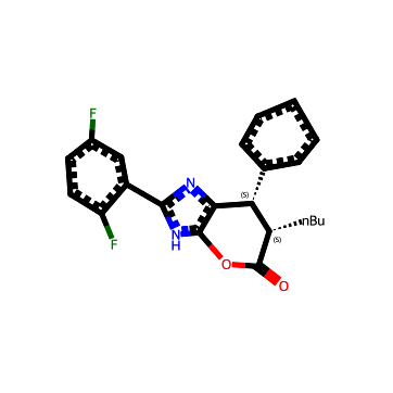 CCCC[C@@H]1C(=O)Oc2[nH]c(-c3cc(F)ccc3F)nc2[C@@H]1c1ccccc1